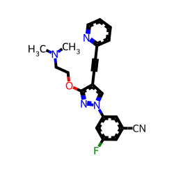 CN(C)CCOc1nn(-c2cc(F)cc(C#N)c2)cc1C#Cc1ccccn1